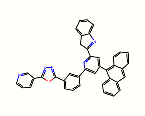 c1cncc(-c2nnc(-c3cccc(-c4cc(-c5c6ccccc6cc6ccccc56)cc(C5=Nc6ccccc6C5)n4)c3)o2)c1